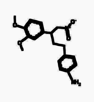 COc1ccc(C(CCc2ccc(N)cc2)C[N+](=O)[O-])cc1OC